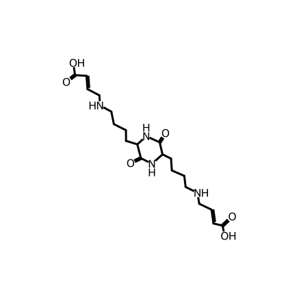 O=C(O)C=CCNCCCCC1NC(=O)C(CCCCNC/C=C/C(=O)O)NC1=O